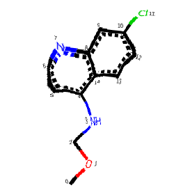 COCNc1ccnc2cc(Cl)ccc12